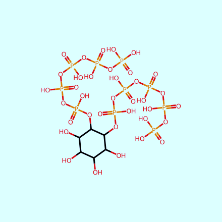 O=P(O)(O)OP(=O)(O)OP(=O)(O)OP(=O)(O)OP(=O)(O)OC1C(O)C(O)C(O)C(O)C1OP(=O)(O)OP(=O)(O)OP(=O)(O)OP(=O)(O)OP(=O)(O)O